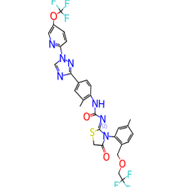 Cc1ccc(COCC(F)(F)F)c(N2C(=O)CS/C2=N\C(=O)Nc2ccc(-c3ncn(-c4ccc(OC(F)(F)F)cn4)n3)cc2C)c1